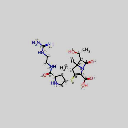 C[C@@H](O)[C@H]1C(=O)N2C(C(=O)O)=C(S[C@@H]3CN[C@H](C(=O)NCCNC(=N)N)C3)[C@H](C)[C@H]12